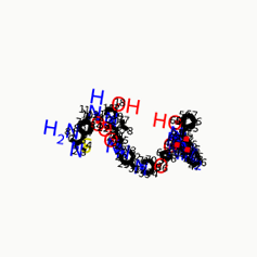 Cc1ncsc1-c1ccc([C@H](C)NC(=O)[C@@H]2C[C@@H](O)CN2C(=O)[C@@H](c2cc(N3CCC(CN4CCC(O[C@H]5C[C@H](Oc6cc(N7C8CCC7CN(c7cc(-c9ccccc9O)nnc7N)C8)ccn6)C5)CC4)CC3)no2)C(C)C)cc1N